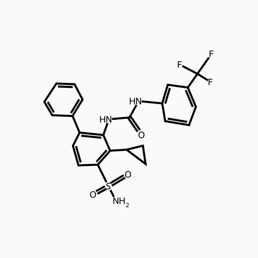 NS(=O)(=O)c1ccc(-c2ccccc2)c(NC(=O)Nc2cccc(C(F)(F)F)c2)c1C1CC1